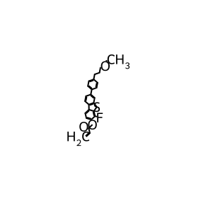 C=CC(=O)Oc1ccc2c(sc3cc(-c4ccc(CCCOCC)cc4)ccc32)c1F